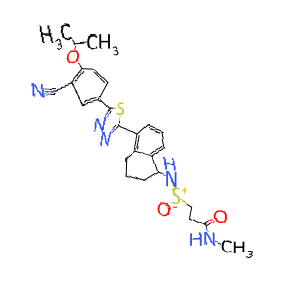 CNC(=O)CC[S+]([O-])NC1CCCc2c(-c3nnc(-c4ccc(OC(C)C)c(C#N)c4)s3)cccc21